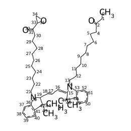 CCC(=O)CCCCCCCCCCN1/C(=C/C=C/C2N(CCCCCCCCCCC(=O)C3CO3)c3ccccc3C2(C)C)C(C)(C)c2ccccc21